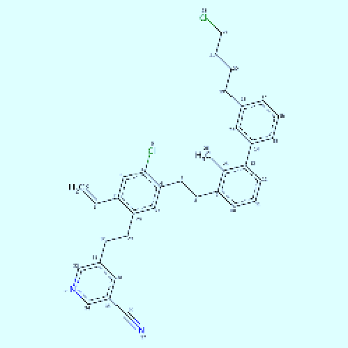 C=Cc1cc(Cl)c(CCc2cccc(-c3cccc(CCCCCl)c3)c2C)cc1CCc1cncc(C#N)c1